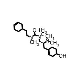 CN(CCC1CC=CCC1)C(O)N(C)C[C@H](CC1=CCC(O)CC1)N(C)C